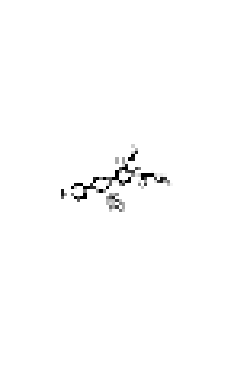 CCC(=O)ON1CCC(N2CCN(C3CCNCC3)CC2)CC1NC=O.Cl.Cl.Cl